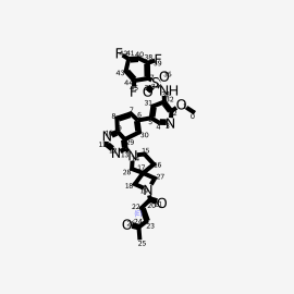 COc1ncc(-c2ccc3ncnc(N4CCC5(CN(C(=O)/C=C/C(C)=O)C5)C4)c3c2)cc1NS(=O)(=O)c1c(F)cc(F)cc1F